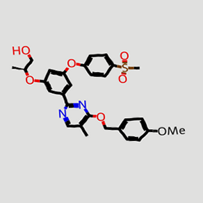 COc1ccc(COc2nc(-c3cc(Oc4ccc(S(C)(=O)=O)cc4)cc(O[C@@H](C)CO)c3)ncc2C)cc1